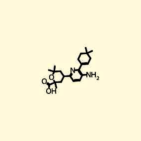 CC1(C)CC=C(c2nc(C3CC(C)(C)OC(C)(C(=O)O)C3)ccc2N)CC1